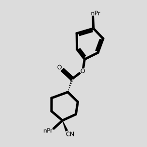 CCCc1ccc(OC(=O)[C@H]2CC[C@@](C#N)(CCC)CC2)cc1